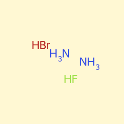 Br.F.N.N